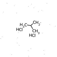 Cl.Cl.[CH2]C(C)C